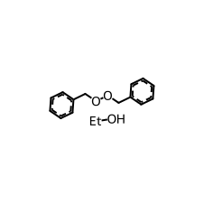 CCO.c1ccc(COOCc2ccccc2)cc1